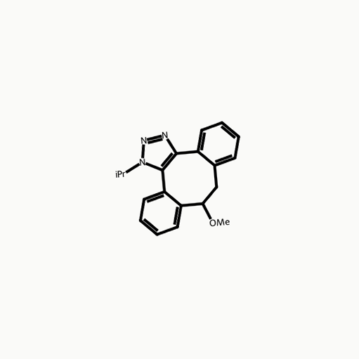 COC1Cc2ccccc2-c2nnn(C(C)C)c2-c2ccccc21